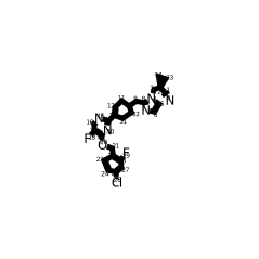 N#CC1(Cn2ccnc2CC2CC=C(c3ncc(F)c(OCc4ccc(Cl)cc4F)n3)CC2)CC1